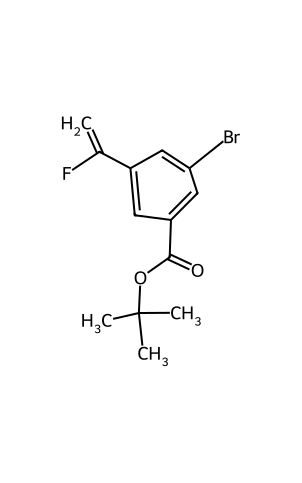 C=C(F)c1cc(Br)cc(C(=O)OC(C)(C)C)c1